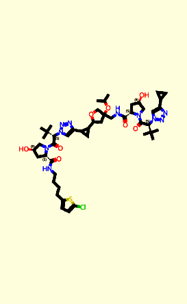 CC(C)OC1(CNC(=O)[C@@H]2C[C@@H](O)CN2C(=O)[C@@H](n2cc(C3CC3)nn2)C(C)(C)C)COC(C2CC2c2cn([C@H](C(=O)N3C[C@H](O)C[C@H]3C(=O)NCCCCc3ccc(Cl)s3)C(C)(C)C)nn2)C1